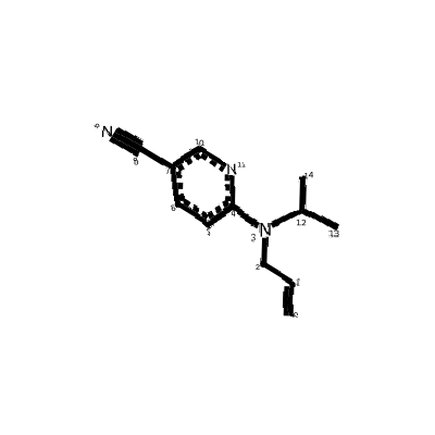 C=CCN(c1ccc(C#N)cn1)C(C)C